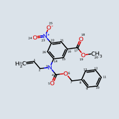 C=CCN(C(=O)OCc1ccccc1)c1cc(C(=O)OC)cc([N+](=O)[O-])c1